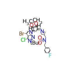 CC(C)(C)OC(=O)N(CCc1ccc(F)cc1)CC1CN(C[C@H]2C[C@@H](n3cc(Br)c4c(Cl)ncnc43)[C@@H]3OC(C)(C)O[C@H]23)C1